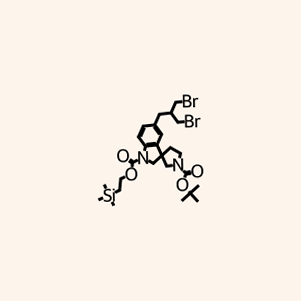 CC(C)(C)OC(=O)N1CCC2(C1)CN(C(=O)OCC[Si](C)(C)C)c1ccc(CC(CBr)CBr)cc12